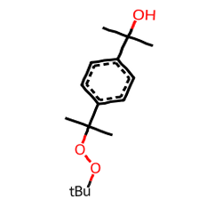 CC(C)(C)OOC(C)(C)c1ccc(C(C)(C)O)cc1